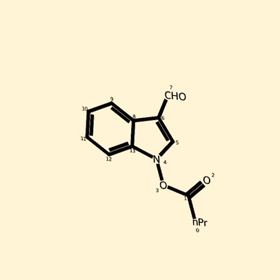 CCCC(=O)On1cc(C=O)c2ccccc21